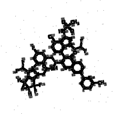 Cc1cccc(-c2ccc3c(=O)n(-c4ccc(Cl)c5c(NS(C)(=O)=O)nn(CC(F)F)c45)c([C@H](Cc4cc(F)cc(F)c4)NC(=O)Cn4nc(C(F)F)c5c4C(F)(F)[C@@H]4C[C@H]54)nc3c2)n1